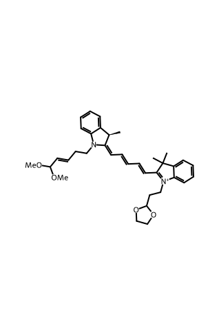 COC(/C=C/CCN1/C(=C/C=C/C=C/C2=[N+](CCC3OCCO3)c3ccccc3C2(C)C)[C@H](C)c2ccccc21)OC